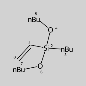 C=C[Si](CCCC)(OCCCC)OCCCC